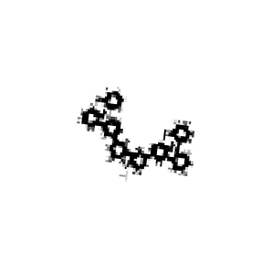 Fc1ccccc1-n1c2ccccc2c2cc(-c3ccc4[nH]c5ccc(-c6ccc7c(c6)c6ccccc6n7-c6ccccc6F)cc5c4c3)ccc21